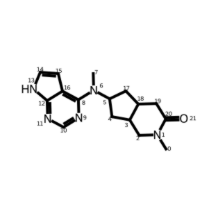 CN1CC2CC(N(C)c3ncnc4[nH]ccc34)CC2CC1=O